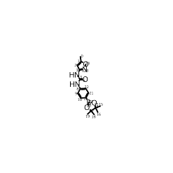 Cc1cc(NC(=O)Nc2ccc(B3OC(C)(C)C(C)(C)O3)cc2)no1